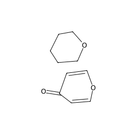 C1CCOCC1.O=c1ccocc1